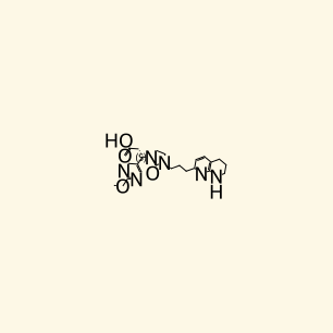 COc1ncc([C@H](CC(=O)O)N2CCN(CCCc3ccc4c(n3)NCCC4)C2=O)cn1